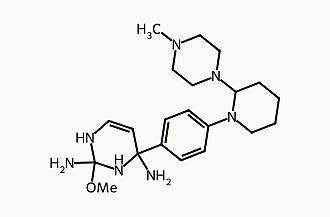 COC1(N)NC=CC(N)(c2ccc(N3CCCCC3N3CCN(C)CC3)cc2)N1